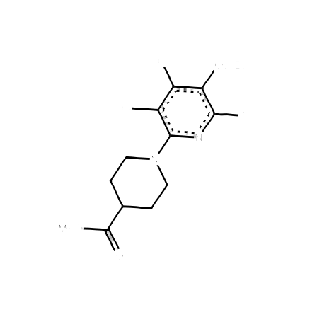 CCOC(=O)c1c(C)nc(N2CCC(C(=O)OC)CC2)c(Cl)c1C